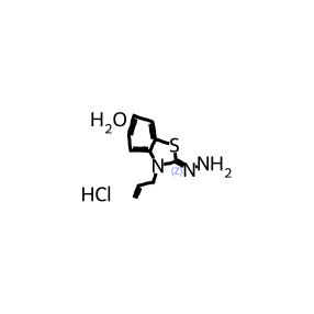 C=CCn1/c(=N/N)sc2ccccc21.Cl.O